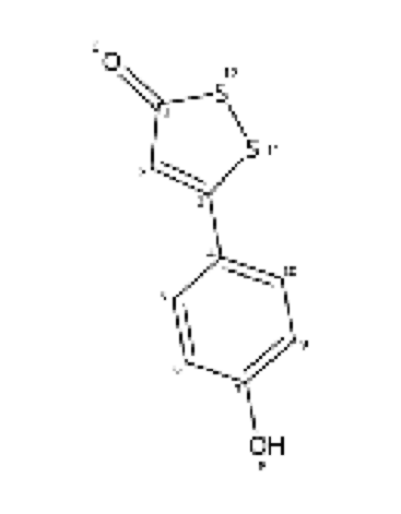 O=c1cc(-c2ccc(O)cc2)ss1